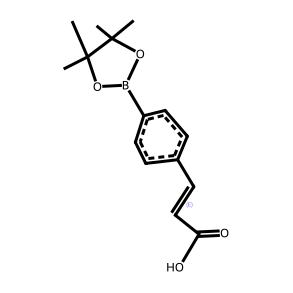 CC1(C)OB(c2ccc(/C=C/C(=O)O)cc2)OC1(C)C